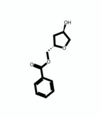 O=C(OC[C@@H]1C[C@@H](O)CO1)c1ccccc1